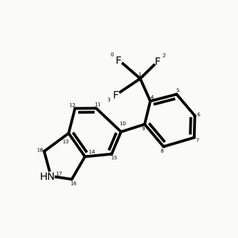 FC(F)(F)c1ccccc1-c1ccc2c(c1)CNC2